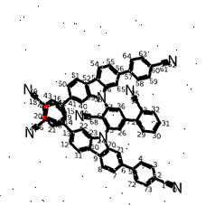 N#Cc1ccc(-c2ccc3c4ccc(-c5ccc(C#N)cc5)cc4n(-c4cc(-c5ccccc5C#N)cc(-n5c6cc(-c7ccc(C#N)cc7)ccc6c6ccc(-c7ccc(C#N)cc7)cc65)c4C#N)c3c2)cc1